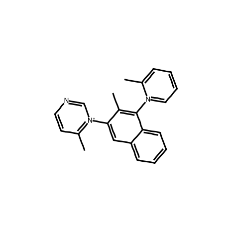 Cc1c(-[n+]2cnccc2C)cc2ccccc2c1-[n+]1ccccc1C